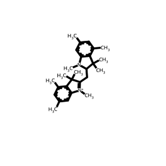 Cc1cc(C)c2c(c1)N(C)C(CC1=[N+](C)c3cc(C)cc(C)c3C1(C)C)C2(C)C